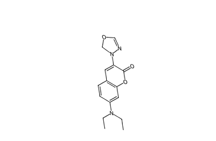 CCN(CC)c1ccc2cc(N3COC=N3)c(=O)oc2c1